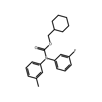 Cc1cccc(N(C(=O)OCC2CCCCC2)c2cccc(F)c2)c1